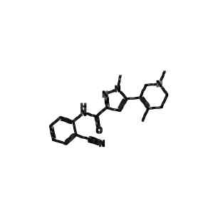 CC1=C(c2cc(C(=O)Nc3ccccc3C#N)nn2C)CN(C)CC1